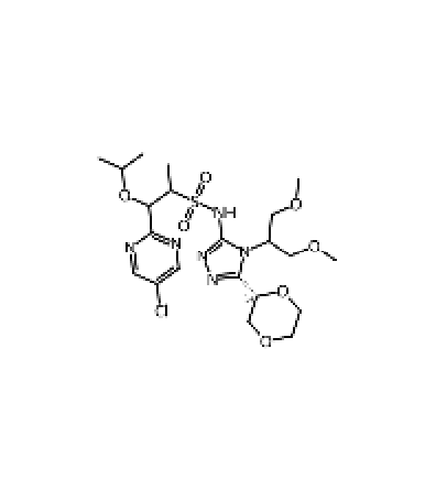 COCC(COC)n1c(NS(=O)(=O)C(C)C(OC(C)C)c2ncc(Cl)cn2)nnc1[C@H]1COCCO1